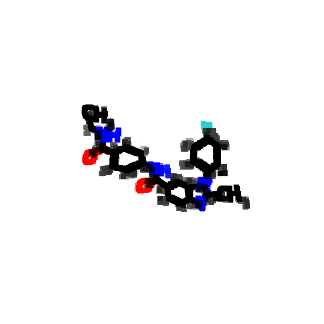 CCNC(=O)c1ccc(NC(=O)c2ccc3nc(C)n(-c4ccc(F)cc4)c3c2)cc1